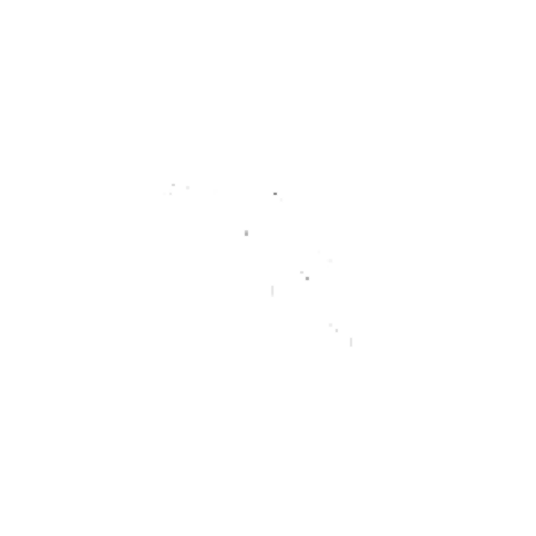 COc1ccc(C/N=C2/CCCCc3c2ccc2c3cc(CO[Si](C)(C)C(C)(C)C)n2C)c(OC)c1